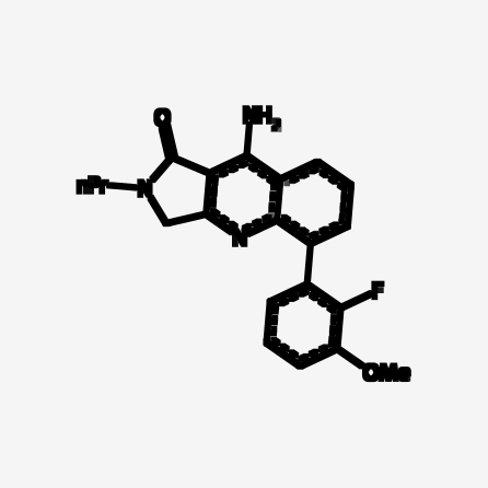 CCCN1Cc2nc3c(-c4cccc(OC)c4F)cccc3c(N)c2C1=O